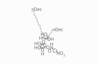 CCCCCCCCCCCCCCCCCCCCCCCCCCN[C@@H](CO[C@H]1O[C@H](COC(=O)Nc2ccc([N+](=O)[O-])cc2)[C@H](O)[C@H](O)[C@H]1O)[C@H](O)[C@H](O)CCCCCCCCCCCCCC